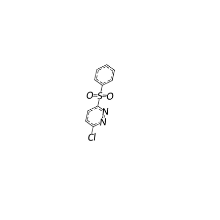 O=S(=O)(c1ccccc1)c1ccc(Cl)nn1